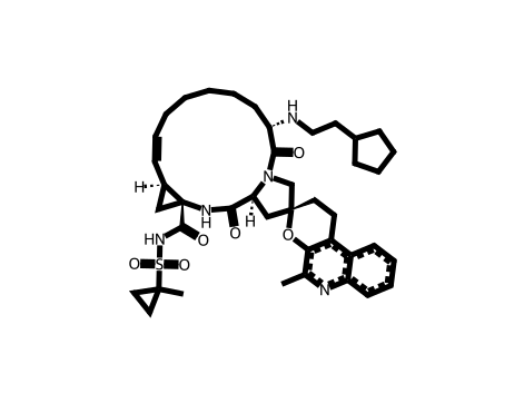 Cc1nc2ccccc2c2c1O[C@]1(CC2)C[C@H]2C(=O)N[C@]3(C(=O)NS(=O)(=O)C4(C)CC4)C[C@H]3/C=C\CCCCC[C@H](NCCC3CCCC3)C(=O)N2C1